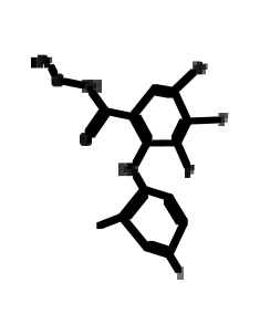 CCCONC(=O)c1cc(Br)c(F)c(F)c1Nc1ccc(I)cc1C